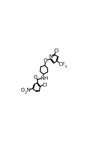 O=C(NC1CCC(Oc2cc(C(F)(F)F)cc(Cl)n2)CC1)c1cc([N+](=O)[O-])ccc1Cl